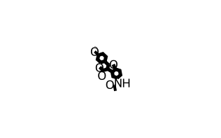 COc1ccc2c(c1)oc(=O)c1c3cc(NC(C)=O)ccc3oc21